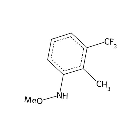 CONc1cccc(C(F)(F)F)c1C